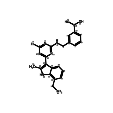 CCc1nc(NCc2cccc(B(O)O)c2)nc(-c2c(C)[nH]c3c(CN)cccc23)n1